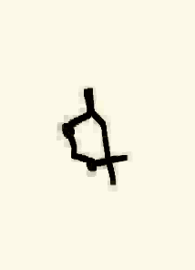 C=C1CC(C)(C)OCO1